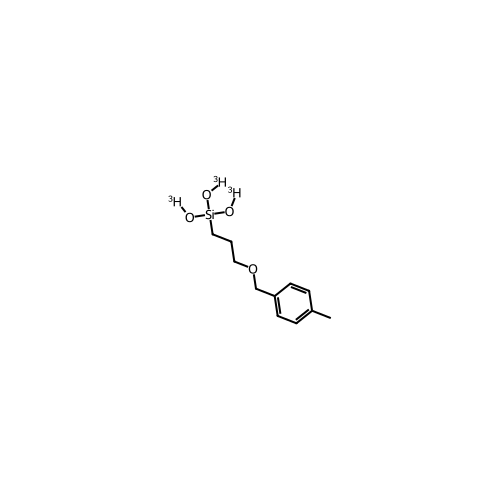 [3H]O[Si](CCCOCc1ccc(C)cc1)(O[3H])O[3H]